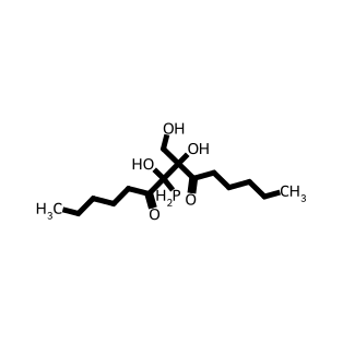 CCCCCC(=O)C(O)(P)C(O)(CO)C(=O)CCCCC